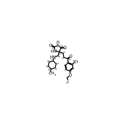 CCc1cc(OCI)ccc1C(=O)CCC1(CNC2CCC(C)CC2)NC(=O)NC1=O